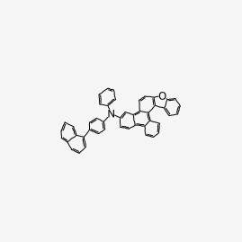 c1ccc(N(c2ccc(-c3cccc4ccccc34)cc2)c2ccc3c4ccccc4c4c(ccc5oc6ccccc6c54)c3c2)cc1